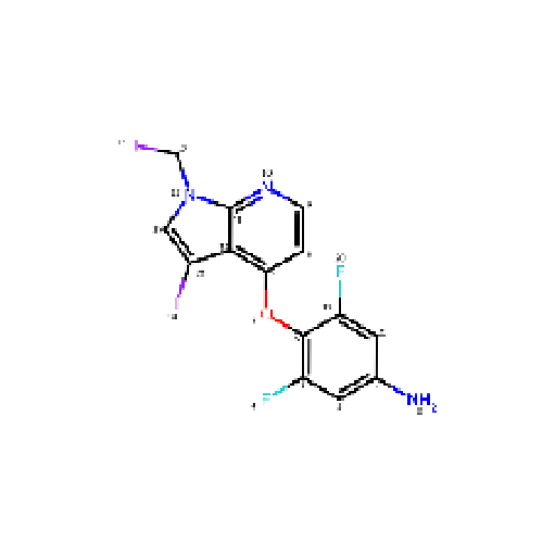 Nc1cc(F)c(Oc2ccnc3c2c(I)cn3CI)c(F)c1